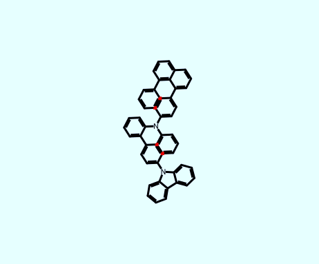 c1ccc(-c2cccc3cccc(-c4ccc(N(c5ccccc5)c5ccccc5-c5ccc(-n6c7ccccc7c7ccccc76)cc5)cc4)c23)cc1